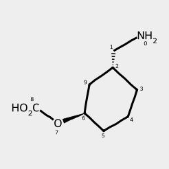 NC[C@@H]1CCC[C@@H](OC(=O)O)C1